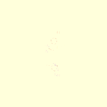 CNc1cc(OC2CCC(NC(=O)Nc3cc(OC(F)(F)F)cc(CO)c3OC)CC2)ncn1